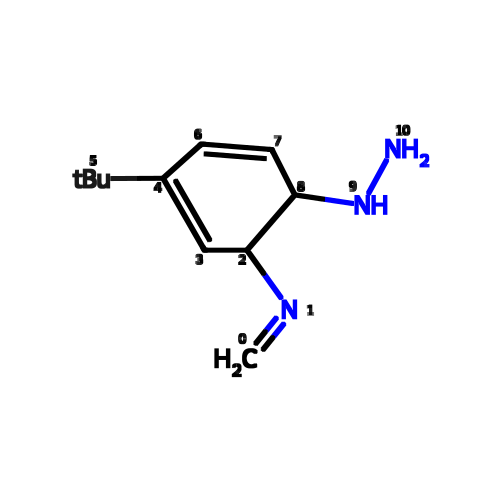 C=NC1C=C(C(C)(C)C)C=CC1NN